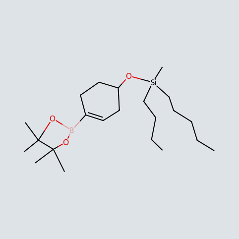 CCCCC[Si](C)(CCCC)OC1CC=C(B2OC(C)(C)C(C)(C)O2)CC1